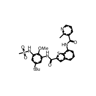 COc1c(NC(=O)c2cc3cccc(NC(=O)c4cccnc4C)c3s2)cc(C(C)(C)C)cc1NS(C)(=O)=O